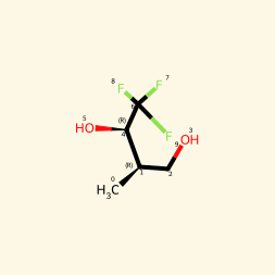 C[C@H](CO)[C@@H](O)C(F)(F)F